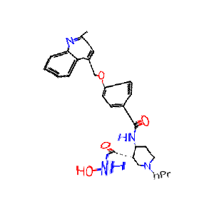 CCCN1CC[C@@H](NC(=O)c2ccc(OCc3cc(C)nc4ccccc34)cc2)[C@@H](C(=O)NO)C1